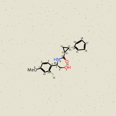 COc1ccc([C@H](CO)NC(=O)[C@H]2C[C@@H]2c2ccccc2)c(F)c1